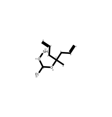 C=CCC(C)(CC=C)OC(CC)O[SiH3]